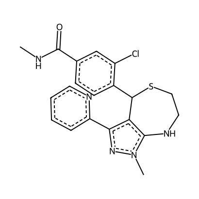 CNC(=O)c1ccc(C2SCCNc3c2c(-c2ccccn2)nn3C)c(Cl)c1